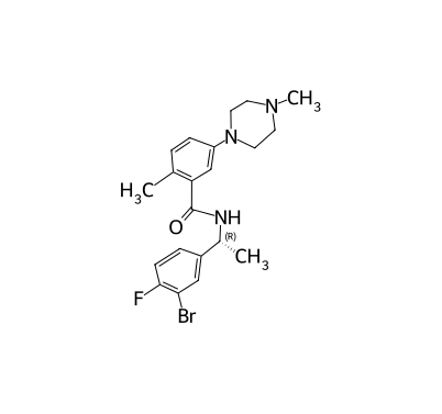 Cc1ccc(N2CCN(C)CC2)cc1C(=O)N[C@H](C)c1ccc(F)c(Br)c1